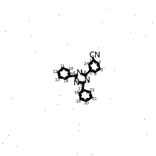 N#Cc1cccc(-c2nc(-c3ccccc3)nc(-c3ccccc3)n2)c1